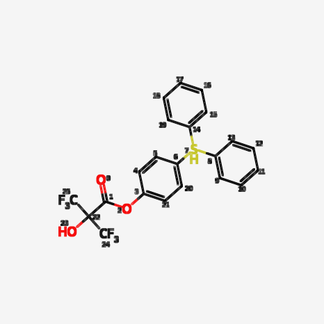 O=C(Oc1ccc([SH](c2ccccc2)c2ccccc2)cc1)C(O)(C(F)(F)F)C(F)(F)F